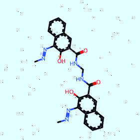 C/N=N/c1c(O)c(C(=O)NCNC(=O)c2cc3ccccc3c(/N=N/C)c2O)cc2ccccc12